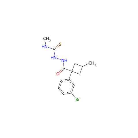 CNC(=S)NNC(=O)C1(c2cccc(Br)c2)CC(C)C1